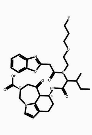 CCC(C)C(C(=O)N[C@H]1CCc2ccn3c2C1C(=O)C[C@H](C(=O)O)C3)N(CCOCCCF)C(=O)Cc1nc2ccccc2o1